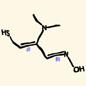 CN(C)C(=C\S)/C=N/O